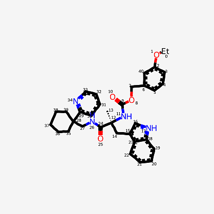 CCOc1cccc(COC(=O)N[C@@](C)(Cc2c[nH]c3ccccc23)C(=O)NCC2(c3ccccn3)CCCCC2)c1